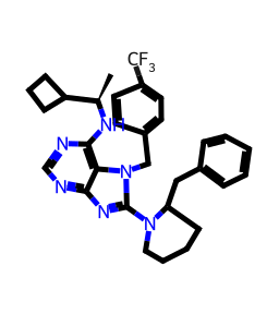 C[C@@H](Nc1ncnc2nc(N3CCCCC3Cc3ccccc3)n(Cc3ccc(C(F)(F)F)cc3)c12)C1CCC1